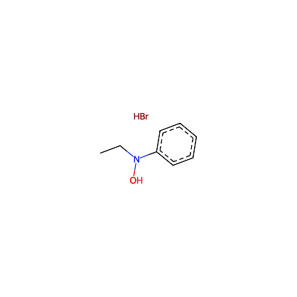 Br.CCN(O)c1ccccc1